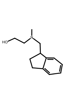 CN(CCO)CC1CCc2ccccc21